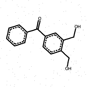 O=C(c1ccccc1)c1ccc(CO)c(CO)c1